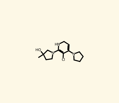 CC1(O)CCN(C2=C(Cl)C(N3CCCC3)=CCN2)C1